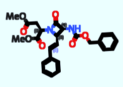 COC(=O)C[C@H](C(=O)OC)N1C(=O)[C@@H](NC(=O)OCc2ccccc2)[C@H]1/C=C/c1ccccc1